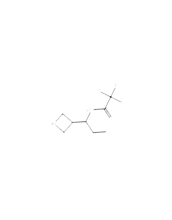 CCC(NC(=O)C(F)(F)F)C1CNC1